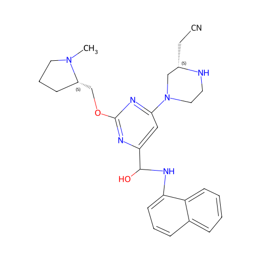 CN1CCC[C@H]1COc1nc(C(O)Nc2cccc3ccccc23)cc(N2CCN[C@@H](CC#N)C2)n1